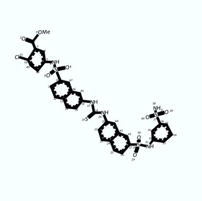 COC(=O)c1cc(NS(=O)(=O)c2ccc3ccc(NC(=S)Nc4ccc5ccc(S(=O)(=O)Nc6cccc(S(N)(=O)=O)c6)cc5c4)cc3c2)ccc1Cl